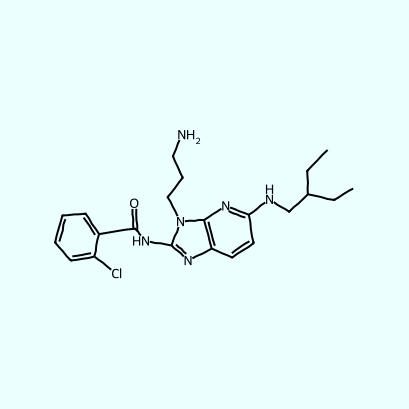 CCC(CC)CNc1ccc2nc(NC(=O)c3ccccc3Cl)n(CCCN)c2n1